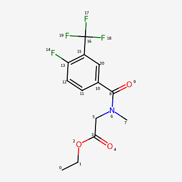 CCOC(=O)CN(C)C(=O)c1ccc(F)c(C(F)(F)F)c1